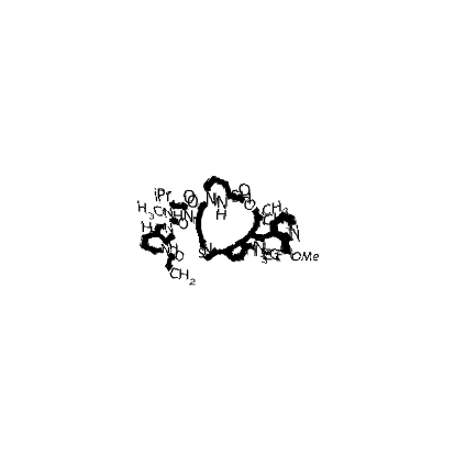 C=CC(=O)N1CCC[C@H]2CN(C(=O)N(C)C(C(=O)N[C@H]3Cc4nc(cs4)-c4ccc5c(c4)c(c(-c4cccnc4[C@H](C)OC)n5CC)CC(C)(C)COC(=O)[C@@]4(S)CCCN(N4)C3=O)C(C)C)C[C@H]21